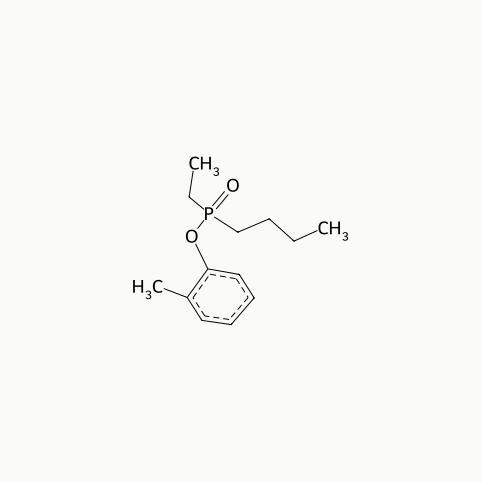 CCCCP(=O)(CC)Oc1ccccc1C